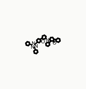 c1ccc(-c2nc(-c3ccccc3)nc(-c3ccc4c(c3)oc3c(-n5c6ccccc6c6c7oc8ccccc8c7ccc65)cccc34)n2)cc1